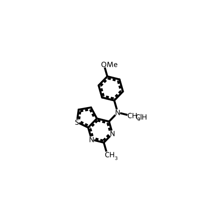 COc1ccc(N(C)c2nc(C)nc3sccc23)cc1.Cl